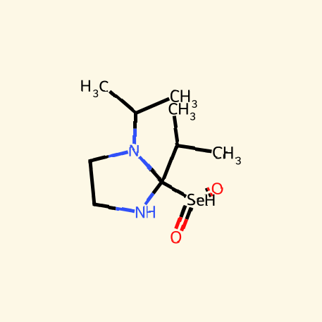 CC(C)N1CCNC1(C(C)C)[SeH](=O)=O